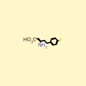 N/C(=C\C(=O)O)CCc1ccc(F)cc1